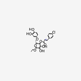 CCO[C@@H]1O[C@H](COc2ccc(O)c(O)c2)[C@@H](OC(=O)/C=C/c2ccc(Cl)cc2)[C@H](O)[C@H]1O